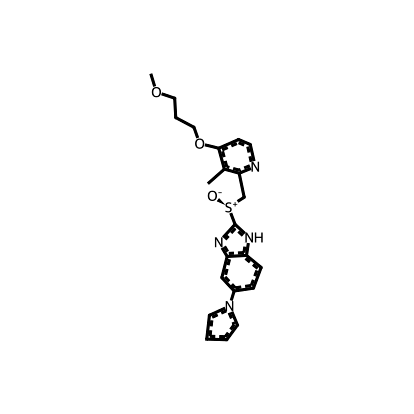 COCCCOc1ccnc(C[S@+]([O-])c2nc3cc(-n4cccc4)ccc3[nH]2)c1C